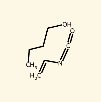 C=CN=C=O.CCCCO